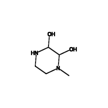 CN1CCNC(O)C1O